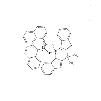 C[Si]1(C)C2=Cc3ccccc3[CH]2[Ti]([O]C(=O)c2cccc3ccccc23)([O]C(=O)c2cccc3ccccc23)[CH]2C1=Cc1ccccc12